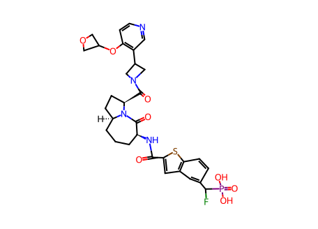 O=C(N[C@H]1CCC[C@H]2CC[C@@H](C(=O)N3CC(c4cnccc4OC4COC4)C3)N2C1=O)c1cc2cc(C(F)P(=O)(O)O)ccc2s1